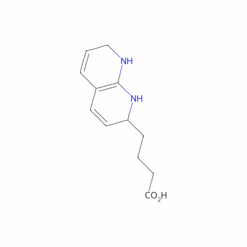 O=C(O)CCCC1C=CC2=C(NCC=C2)N1